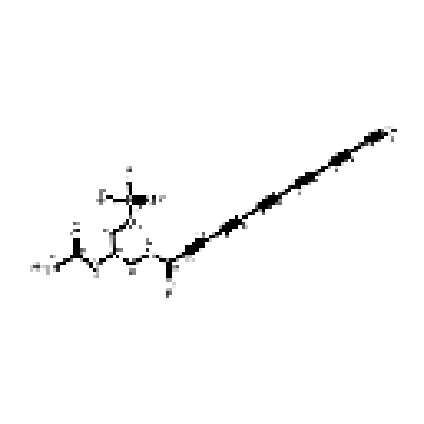 C#CC#CC#CC#CC#CC#CC(=O)OC[C@H](COP(=O)(O)O)OC(=O)CCCCCCC